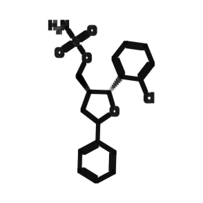 NS(=O)(=O)OC[C@@H]1CC(c2ccccc2)O[C@H]1c1ccccc1Cl